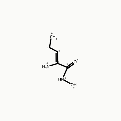 CC/C=C(\N)C(=O)NO